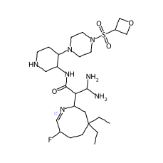 CCC1(CC)CCC(F)/C=N\C(C(C(=O)NC2CNCCC2N2CCN(S(=O)(=O)C3COC3)CC2)C(N)N)C1